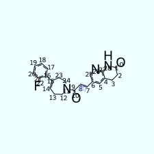 O=C1CCc2cc(/C=C/C(=O)N3CCC=C(c4ccccc4F)CC3)cnc2N1